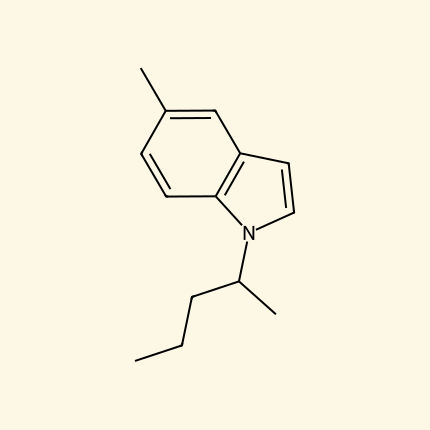 CCCC(C)n1ccc2cc(C)ccc21